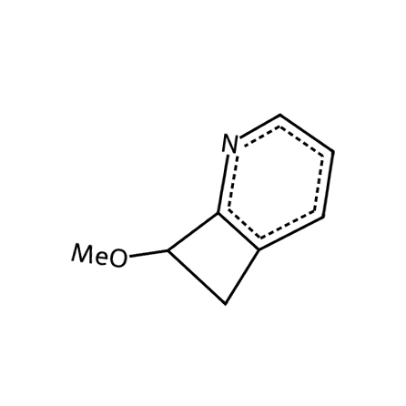 COC1Cc2cccnc21